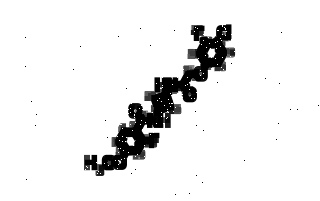 COc1ccc(C(=O)NC23CC(NC(=O)COc4ccc(Cl)c(F)c4)(C2)C3)c(F)c1